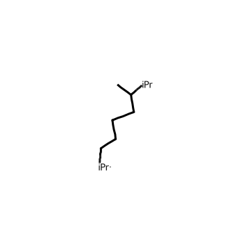 C[C](C)CCCCC(C)C(C)C